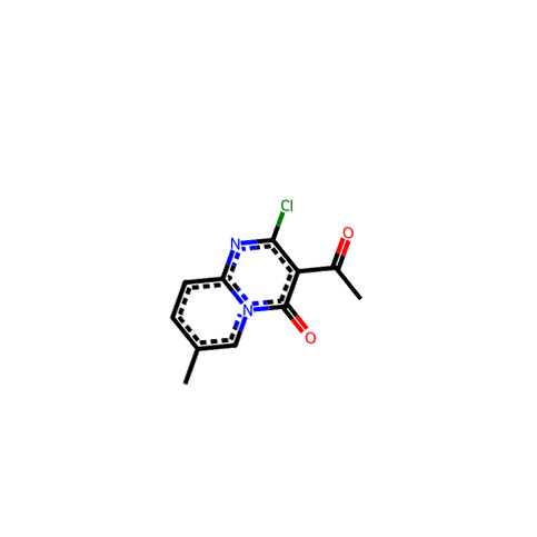 CC(=O)c1c(Cl)nc2ccc(C)cn2c1=O